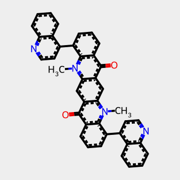 Cn1c2cc3c(=O)c4cccc(-c5ccnc6ccccc56)c4n(C)c3cc2c(=O)c2cccc(-c3ccnc4ccccc34)c21